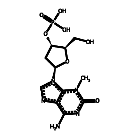 Cn1c(=O)nc(N)c2ncn([C@H]3C[C@H](OP(=O)(O)O)[C@@H](CO)O3)c21